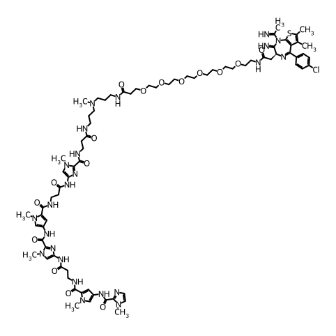 CC(=N)N1C(=N)[C@H](CC(=O)NCCOCCOCCOCCOCCOCCOCCC(=O)NCCCN(C)CCCNC(=O)CCNC(=O)c2nc(NC(=O)CCNC(=O)c3cc(NC(=O)c4nc(NC(=O)CCNC(=O)c5cc(NC(=O)c6nccn6C)cn5C)cn4C)cn3C)cn2C)N=C(c2ccc(Cl)cc2)c2c1sc(C)c2C